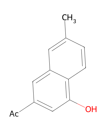 CC(=O)c1cc(O)c2ccc(C)cc2c1